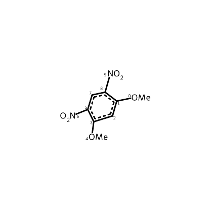 COc1cc(OC)c([N+](=O)[O-])cc1[N+](=O)[O-]